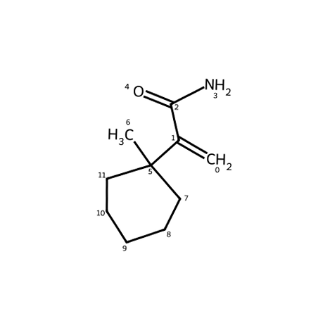 C=C(C(N)=O)C1(C)CCCCC1